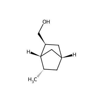 C[C@H]1C[C@H]2C[C@H](CO)[C@@H]1C2